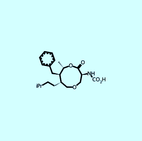 CC(C)CC[C@H]1COC[C@H](NC(=O)O)C(=O)O[C@@H](C)[C@@H]1Cc1ccccc1